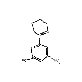 N#Cc1cc(C2=CCCCC2)cc([N+](=O)[O-])c1